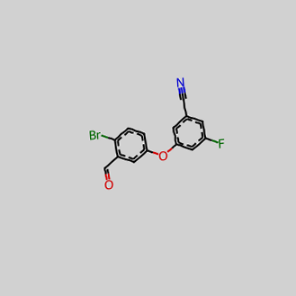 N#Cc1cc(F)cc(Oc2ccc(Br)c(C=O)c2)c1